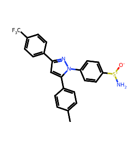 Cc1ccc(-c2cc(-c3ccc(C(F)(F)F)cc3)nn2-c2ccc([S+](N)[O-])cc2)cc1